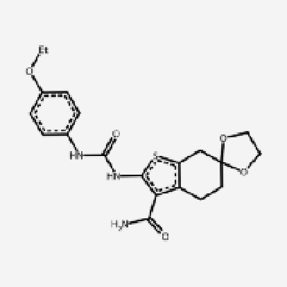 CCOc1ccc(NC(=O)Nc2sc3c(c2C(N)=O)CCC2(C3)OCCO2)cc1